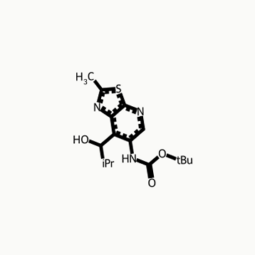 Cc1nc2c(C(O)C(C)C)c(NC(=O)OC(C)(C)C)cnc2s1